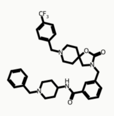 O=C(NC1CCN(Cc2ccccc2)CC1)c1cccc(CN2CC3(CCN(Cc4ccc(C(F)(F)F)cc4)CC3)OC2=O)c1